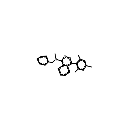 Cc1cc(C)c(-c2nnc(N(C)Cc3ccccc3)c3ccccc23)c(C)c1